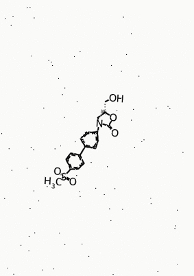 CS(=O)(=O)c1ccc(-c2ccc(N3C[C@H](CO)OC3=O)cc2)cc1